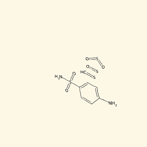 Nc1ccc(S(N)(=O)=O)cc1.O=S.O=S=O.[CH]=S